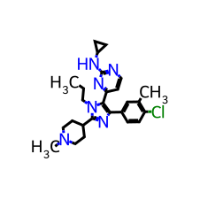 CCCn1c(C2CCN(C)CC2)nc(-c2ccc(Cl)c(C)c2)c1-c1ccnc(NC2CC2)n1